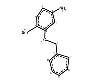 CC(C)(C)c1ccc(N)cc1OCc1ccccc1